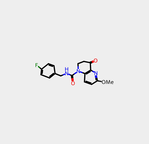 COc1ccc2c(n1)C(=O)CCN2C(=O)NCc1ccc(F)cc1